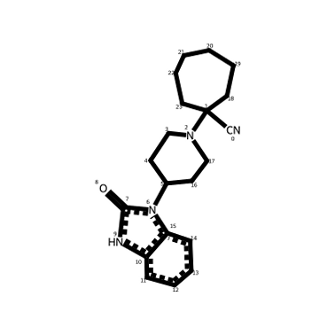 N#CC1(N2CCC(n3c(=O)[nH]c4ccccc43)CC2)CCCCCC1